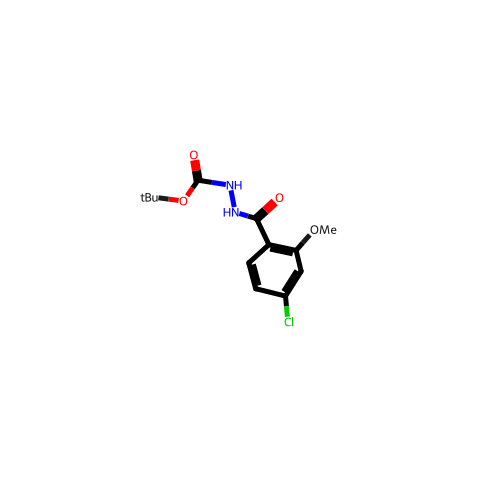 COc1cc(Cl)ccc1C(=O)NNC(=O)OC(C)(C)C